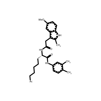 COc1ccc2[nH]c(C)c(CC(=O)N[C@@H](CCCCCC(C)=O)C(=O)Nc3ccc(C)c(C)c3)c2c1